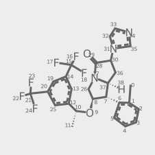 Cc1ccccc1[C@@H]1[C@@H](O[C@H](C)c2cc(C(F)(F)F)cc(C(F)(F)F)c2)CN2C(=O)C(n3ccnc3)C[C@@H]12